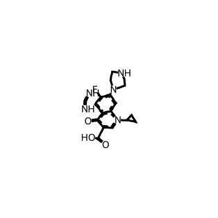 N=C=N.O=C(O)c1cn(C2CC2)c2cc(N3CCNCC3)c(F)cc2c1=O